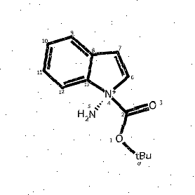 CC(C)(C)OC(=O)[N@+]1(N)C=Cc2ccccc21